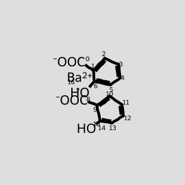 O=C([O-])c1ccccc1O.O=C([O-])c1ccccc1O.[Ba+2]